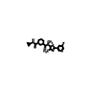 Cc1nc(-c2cncc(F)c2)sc1N(C)C(=O)C1CCCN(C(=O)NC2CC2)C1